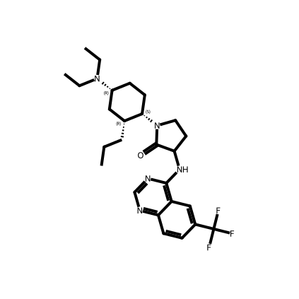 CCC[C@@H]1C[C@H](N(CC)CC)CC[C@@H]1N1CCC(Nc2ncnc3ccc(C(F)(F)F)cc23)C1=O